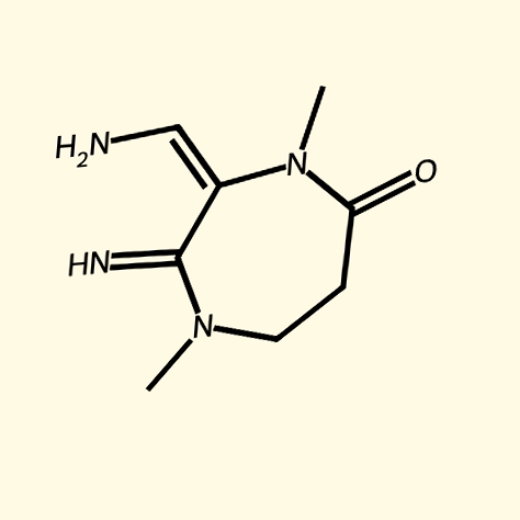 CN1CCC(=O)N(C)/C(=C/N)C1=N